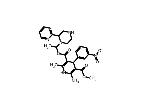 COC(=O)C1=C(C)NC(C)=C(C(=O)OC(C)N2CCNCC2c2ncccn2)C1c1cccc([N+](=O)[O-])c1